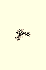 CC(C)C[C@H](NC(=O)OCc1ccccc1)C(=O)N[C@@H](CC(C)C)C(=O)C1NN(C(C)C)C(=O)O1